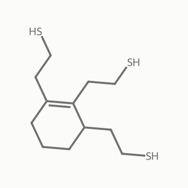 SCCC1=C(CCS)C(CCS)CCC1